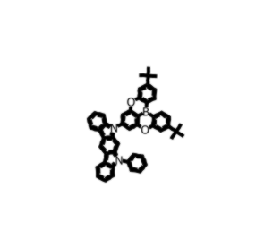 CC(C)(C)c1ccc2c(c1)Oc1cc(-n3c4ccccc4c4cc5c6ccccc6n(-c6ccccc6)c5cc43)cc3c1B2c1ccc(C(C)(C)C)cc1O3